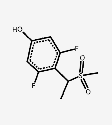 CC(c1c(F)cc(O)cc1F)S(C)(=O)=O